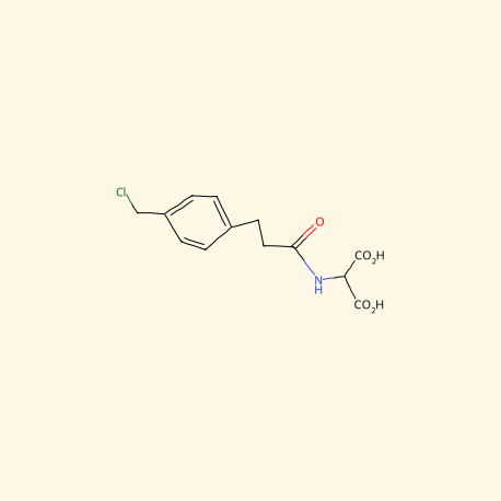 O=C(CCc1ccc(CCl)cc1)NC(C(=O)O)C(=O)O